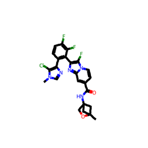 Cn1cnc(-c2ccc(F)c(F)c2-c2nc3cc(C(=O)NC45COC(C)(C4)C5)ccn3c2F)c1Cl